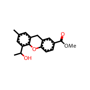 COC(=O)c1ccc2c(c1)Cc1cc(C)cc(C(C)O)c1O2